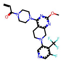 C=CC(=O)N1CCN(c2nc(OC)nc3c2CCN(c2cncc(F)c2C(F)(F)F)C3)CC1